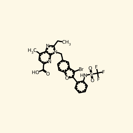 CCc1nc2c(C)cc(C(=O)O)nc2n1Cc1ccc2oc(-c3ccccc3NS(=O)(=O)C(F)(F)F)c(Br)c2c1